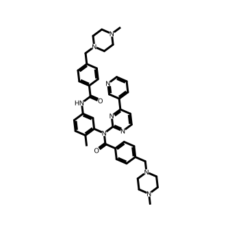 Cc1ccc(NC(=O)c2ccc(CN3CCN(C)CC3)cc2)cc1N(C(=O)c1ccc(CN2CCN(C)CC2)cc1)c1nccc(-c2cccnc2)n1